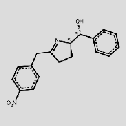 O=[N+]([O-])c1ccc(CC2=N[C@@H]([C@H](O)c3ccccc3)CC2)cc1